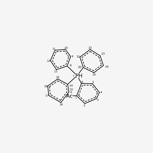 CC(=O)c1ccccc1[PH](c1ccccc1)(c1ccccc1)c1ccccc1